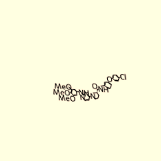 COc1cc(Nc2nccc(N3CCC[C@H](C(=O)NCc4cccc(Oc5ccc(Cl)cc5)c4)C3)n2)cc(OC)c1OC